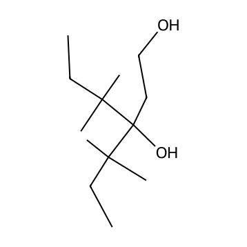 CCC(C)(C)C(O)(CCO)C(C)(C)CC